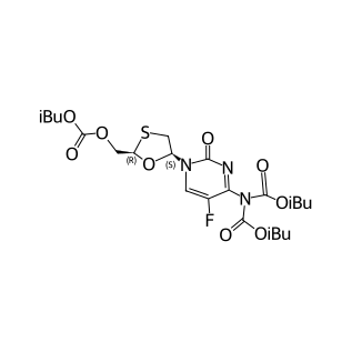 CC(C)COC(=O)OC[C@@H]1O[C@H](n2cc(F)c(N(C(=O)OCC(C)C)C(=O)OCC(C)C)nc2=O)CS1